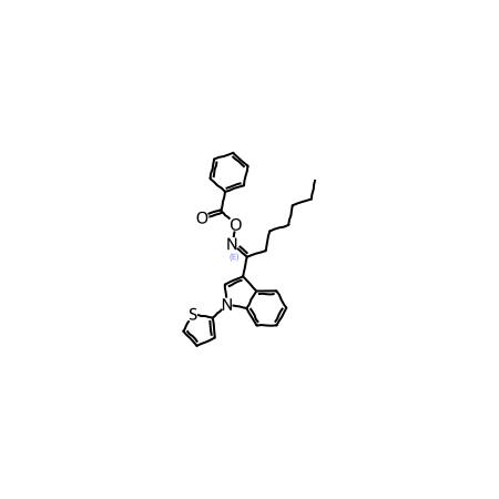 CCCCCC/C(=N\OC(=O)c1ccccc1)c1cn(-c2cccs2)c2ccccc12